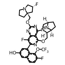 Oc1cc(-c2nc3c4c(nc(OC[C@@]56CCCN5C[C@H](F)C6)nc4c2F)N2C[C@H]4CC[C@H](N4)[C@H]2CO3)c2c(OC(F)(F)F)c(F)ccc2c1